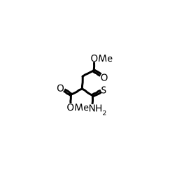 COC(=O)CC(C(=O)OC)C(N)=S